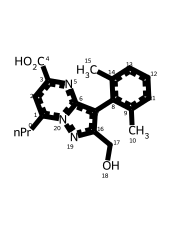 CCCc1cc(C(=O)O)nc2c(-c3c(C)cccc3C)c(CO)nn12